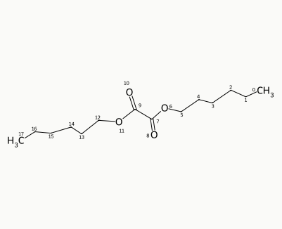 CCCCCCOC(=O)C(=O)OCCCCCC